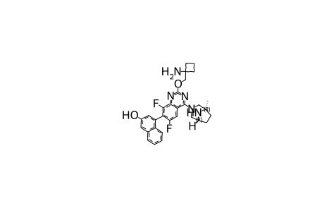 C[C@@]12CC[C@H](CN(c3nc(OCC4(N)CCC4)nc4c(F)c(-c5cc(O)cc6ccccc56)c(F)cc34)C1)N2